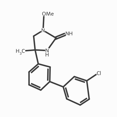 CON1CC(C)(c2cccc(-c3cccc(Cl)c3)c2)NC1=N